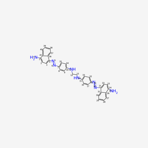 Nc1ccc(/N=N/c2ccc(NCCNc3ccc(/N=N/c4ccc(N)c5ccccc45)cc3)cc2)c2ccccc12